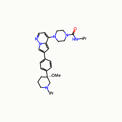 CO[C@@]1(c2ccc(-c3cc4c(N5CCN(C(=O)NC(C)C)CC5)ccnn4c3)cc2)CCCN(C(C)C)C1